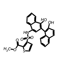 COC(=O)c1sccc1S(=O)(=O)Nc1cc(-c2c(O)ccc3ccccc23)c(O)c2ccccc12